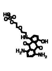 Nc1ccc(N)c2c1C(=O)c1c(O)ccc(NCCOCCOS(=O)(=O)O)c1C2=O